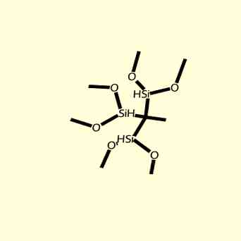 CO[SiH](OC)C(C)([SiH](OC)OC)[SiH](OC)OC